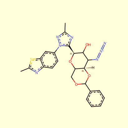 Cc1nc([C@@H]2OC3COC(c4ccccc4)O[C@@H]3C(N=[N+]=[N-])C2O)n(-c2ccc3nc(C)sc3c2)n1